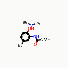 CCCNC(C)CC.CCc1ccc(O)c(NC(=O)NC)c1